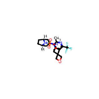 Cc1nc(C(F)(F)F)ccc1S(=O)(=O)N1[C@@H]2CC[C@H]1CC(NC1CC3(COC3)C1)C2